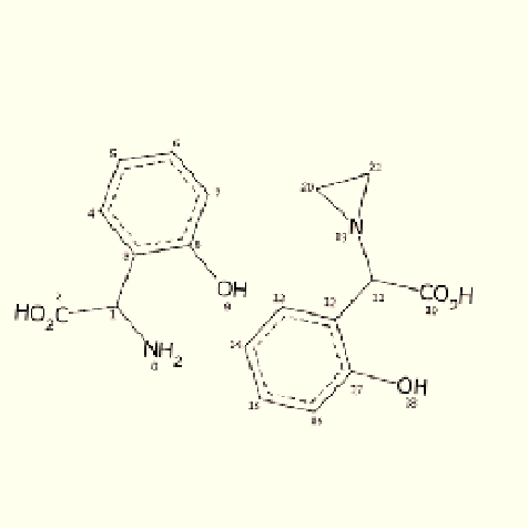 NC(C(=O)O)c1ccccc1O.O=C(O)C(c1ccccc1O)N1CC1